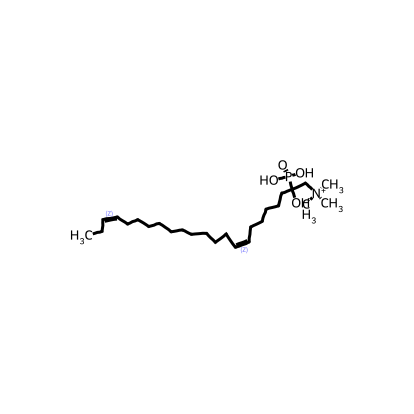 CC/C=C\CCCCCCCCCC/C=C\CCCCCC(O)(C[N+](C)(C)C)P(=O)(O)O